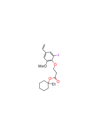 C=Cc1cc(I)c(OCCC(=O)OC2(CC)CCCCC2)c(OC)c1